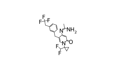 C/C(N)=N/c1cc(=O)n(C2(C(F)F)CC2)cc1Cc1cccc(CC(F)(F)F)c1